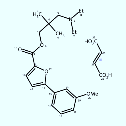 CCN(CC)CC(C)(C)COC(=O)c1ccc(-c2cccc(OC)c2)o1.O=C(O)/C=C/C(=O)O